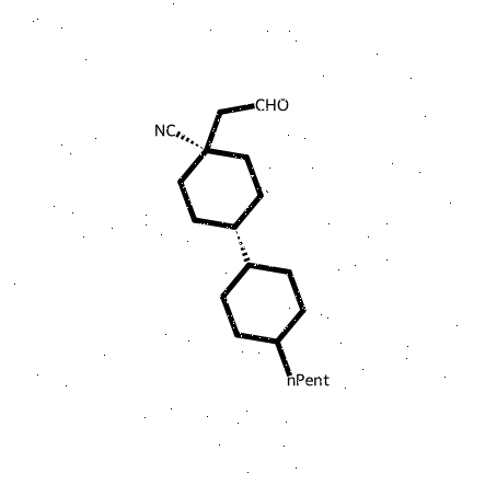 CCCCCC1CCC([C@H]2CC[C@](C#N)(CC=O)CC2)CC1